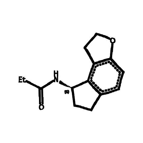 CCC(=O)N[C@H]1CCc2ccc3c(c21)CCO3